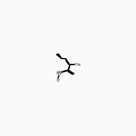 C=C/C=C(/C#N)C(=C)NCC